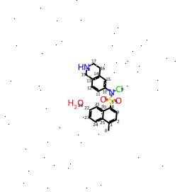 Cc1ccc(S(=O)(=O)N(Cl)c2ccc3c(c2)CCNC3)c2ccccc12.O